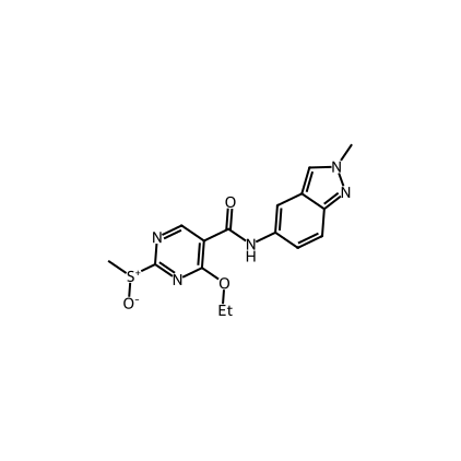 CCOc1nc([S+](C)[O-])ncc1C(=O)Nc1ccc2nn(C)cc2c1